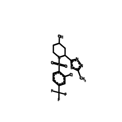 Cc1nnc(C2CC(O)CCN2S(=O)(=O)c2ccc(C(F)(F)F)cc2Cl)s1